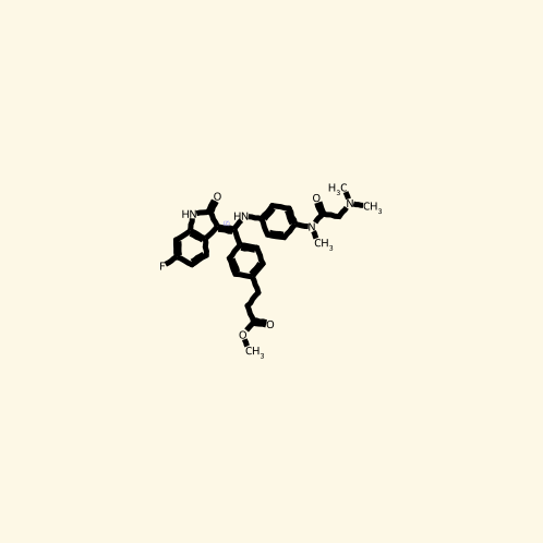 COC(=O)CCc1ccc(/C(Nc2ccc(N(C)C(=O)CN(C)C)cc2)=C2/C(=O)Nc3cc(F)ccc32)cc1